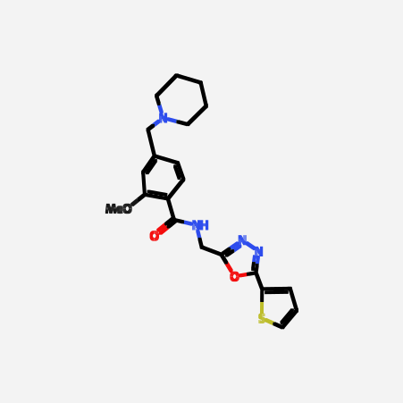 COc1cc(CN2CCCCC2)ccc1C(=O)NCc1nnc(-c2cccs2)o1